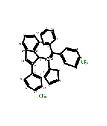 C1=CC[C]([Zr+2](=[C](c2ccccc2)c2ccccc2)[CH]2C(c3ccccc3)=Cc3ccccc32)=C1.[Cl-].[Cl-]